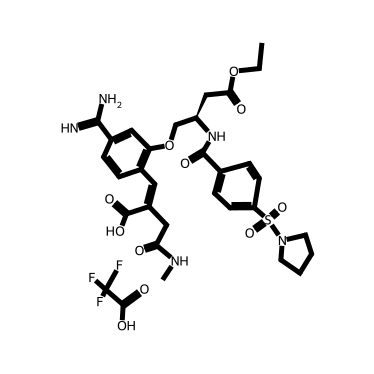 CCOC(=O)C[C@H](COc1cc(C(=N)N)ccc1C=C(CC(=O)NC)C(=O)O)NC(=O)c1ccc(S(=O)(=O)N2CCCC2)cc1.O=C(O)C(F)(F)F